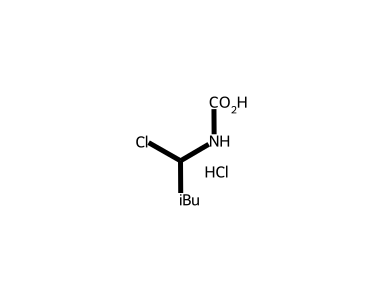 CCC(C)C(Cl)NC(=O)O.Cl